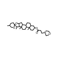 CC1CCC2(OC1)OC1CC3C4CCC5CC(OC(=O)CCN6CCOCC6)CCC5(C)C4CCC3(C)C1C2C